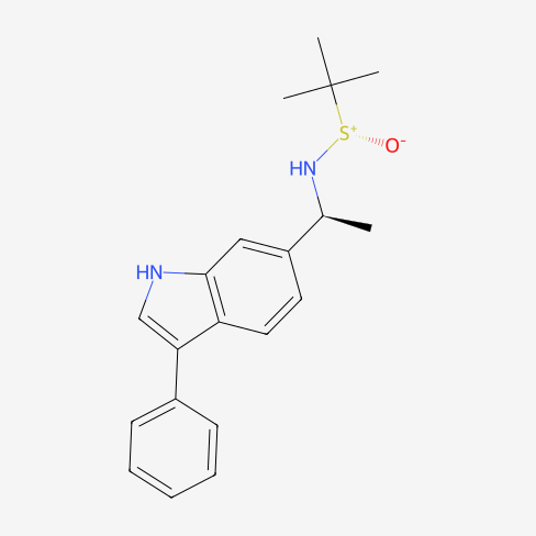 C[C@H](N[S@@+]([O-])C(C)(C)C)c1ccc2c(-c3ccccc3)c[nH]c2c1